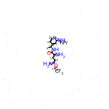 CCCNc1cc(C(C)NC(=O)/C(N)=C/C=C(\N)OCC(F)(F)F)ccn1